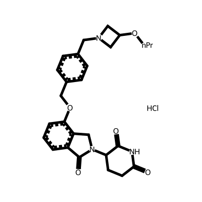 CCCOC1CN(Cc2ccc(COc3cccc4c3CN(C3CCC(=O)NC3=O)C4=O)cc2)C1.Cl